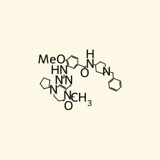 COc1ccc(C(=O)NC2CCN(Cc3ccccc3)CC2)cc1Nc1ncc2c(n1)N(C1CCCC1)CCC(=O)N2C